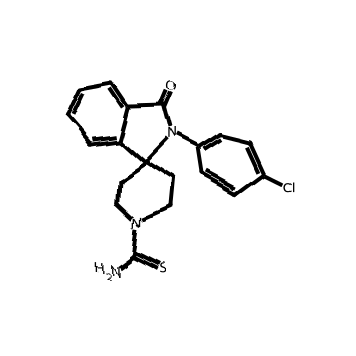 NC(=S)N1CCC2(CC1)c1ccccc1C(=O)N2c1ccc(Cl)cc1